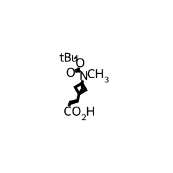 CN(C(=O)OC(C)(C)C)C12CC(/C=C/C(=O)O)(C1)C2